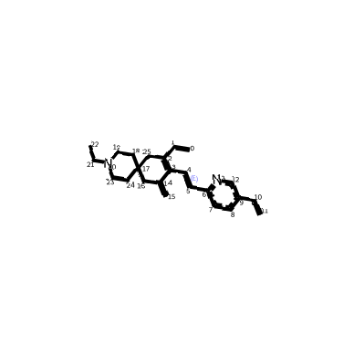 C=CC1=C(/C=C/c2ccc(C=C)cn2)C(=C)CC2(CCN(CC)CC2)C1